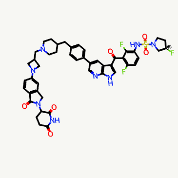 O=C1CCC(N2Cc3cc(N4CC(CN5CCC(Cc6ccc(-c7cnc8[nH]cc(C(=O)c9c(F)ccc(NS(=O)(=O)N%10CC[C@@H](F)C%10)c9F)c8c7)cc6)CC5)C4)ccc3C2=O)C(=O)N1